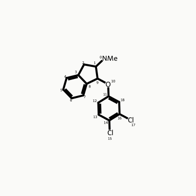 CNC1Cc2ccccc2C1Oc1ccc(Cl)c(Cl)c1